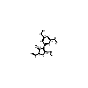 C=CC1CC(NC)=C(c2cc(CC)cc(CC)c2)C1=O